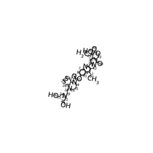 CCc1c2c(nc3ccc(OC(=O)N4CCCN(CCN(CCO)CCO)C5CSSCC54)cc13)-c1cc3c(c(=O)n1C2)COC(=O)[C@]3(O)CC